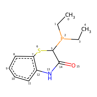 CCP(CC)C1Sc2ccccc2NC1=O